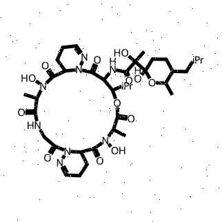 CC(C)CC1CCC(O)(C(C)(O)C(=O)NC2C(=O)N3N=CCCC3C(=O)N(O)C(C)C(=O)NCC(=O)N3N=CCCC3C(=O)N(O)C(C)C(=O)OC2C(C)C)OC1C